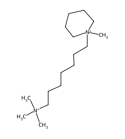 C[N+](C)(C)CCCCCCC[N+]1(C)CCCCC1